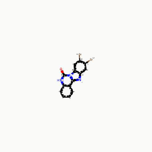 O=c1[nH]c2ccccc2c2nc3cc(Br)c(Br)cc3n12